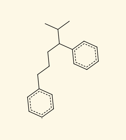 CC(C)C(CCCc1cc[c]cc1)c1ccccc1